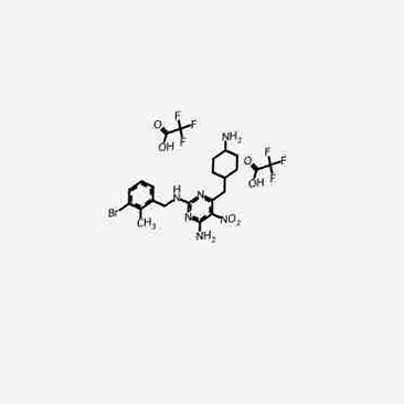 Cc1c(Br)cccc1CNc1nc(N)c([N+](=O)[O-])c(CC2CCC(N)CC2)n1.O=C(O)C(F)(F)F.O=C(O)C(F)(F)F